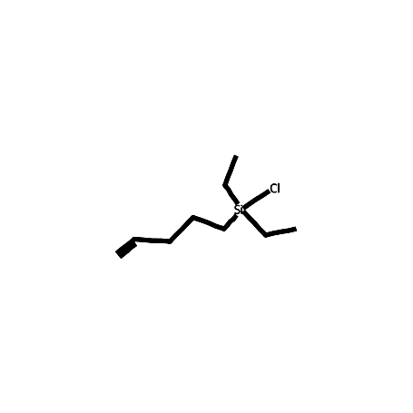 C=CCCC[Si](Cl)(CC)CC